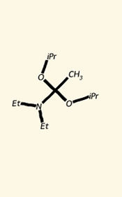 CCN(CC)C(C)(OC(C)C)OC(C)C